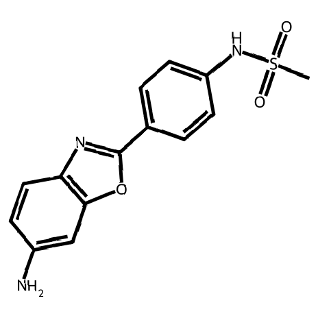 CS(=O)(=O)Nc1ccc(-c2nc3ccc(N)cc3o2)cc1